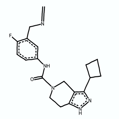 C=NCc1cc(NC(=O)N2CCc3[nH]nc(C4CCC4)c3C2)ccc1F